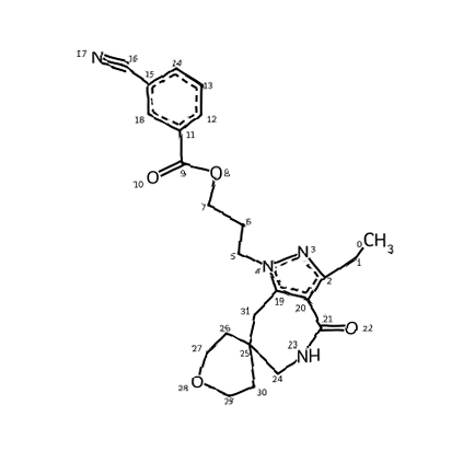 CCc1nn(CCCOC(=O)c2cccc(C#N)c2)c2c1C(=O)NCC1(CCOCC1)C2